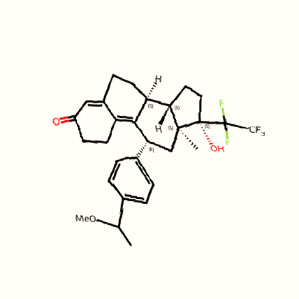 COC(C)c1ccc([C@H]2C[C@@]3(C)[C@@H](CC[C@@]3(O)C(F)(F)C(F)(F)F)[C@@H]3CCC4=CC(=O)CCC4=C32)cc1